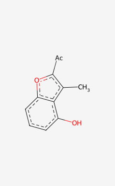 CC(=O)c1oc2cccc(O)c2c1C